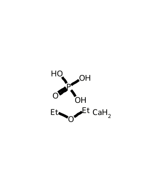 CCOCC.O=P(O)(O)O.[CaH2]